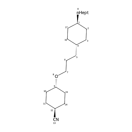 CCCCCCC[C@H]1CC[C@H](CCCO[C@H]2CC[C@H](C#N)CC2)CC1